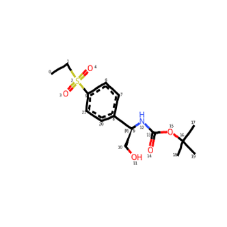 CCS(=O)(=O)c1ccc([C@H](CO)NC(=O)OC(C)(C)C)cc1